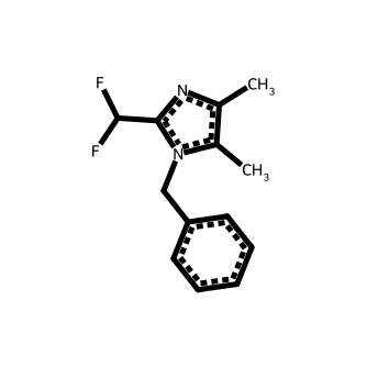 Cc1nc(C(F)F)n(Cc2ccccc2)c1C